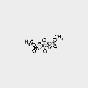 Cc1ccc(N(c2ccccc2)c2ccc3c4c(-c5ccccc5)c5c6cccc7c(N(c8ccccc8)c8ccc(C)cc8)ccc(c5c(-c5ccccc5)c4c4cccc2c43)c76)cc1